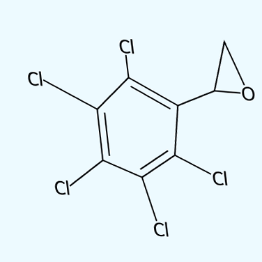 Clc1c(Cl)c(Cl)c(C2CO2)c(Cl)c1Cl